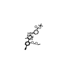 C#Cc1ccc(-c2nnc(N[C@@H]3CCCN(C(=O)OC(C)(C)C)C3)nc2C)c(OCOCC)c1